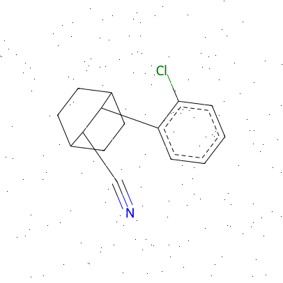 N#CC1C2CCC(CC2)C1c1ccccc1Cl